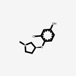 CN1CC[C@H](Sc2ccc(O)cc2Cl)C1